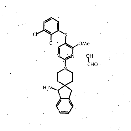 COc1nc(N2CCC3(CC2)Cc2ccccc2[C@H]3N)ncc1Sc1cccc(Cl)c1Cl.O=CO